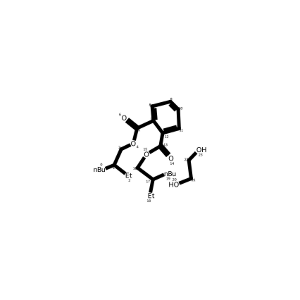 CCCCC(CC)COC(=O)c1ccccc1C(=O)OCC(CC)CCCC.OCCO